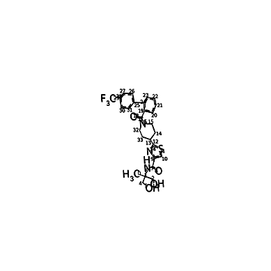 CC(CO)(CO)NC(=O)c1csc(C2CCN(C(=O)c3ccccc3-c3ccc(C(F)(F)F)cc3)CC2)n1